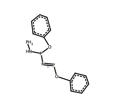 PNP(/N=P/Oc1ccccc1)Oc1ccccc1